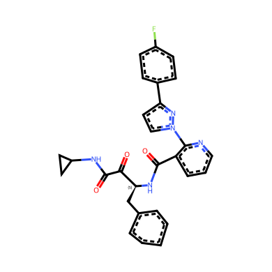 O=C(NC1CC1)C(=O)[C@H](Cc1ccccc1)NC(=O)c1cccnc1-n1ccc(-c2ccc(F)cc2)n1